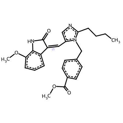 CCCCc1ncc(/C=C2\C(=O)Nc3c(OC)cccc32)n1Cc1ccc(C(=O)OC)cc1